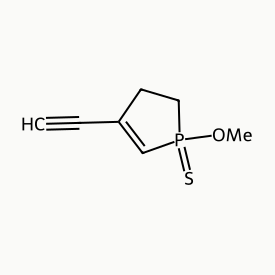 C#CC1=CP(=S)(OC)CC1